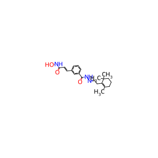 CC1=C(C/C=N/NC(=O)c2cccc(/C=C/C(=O)NO)c2)C(C)(C)CCC1